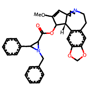 COC1=C[C@]23CCCN2CCc2cc4c(cc2[C@@H]3C1OC(=O)C1C(c2ccccc2)N1Cc1ccccc1)OCO4